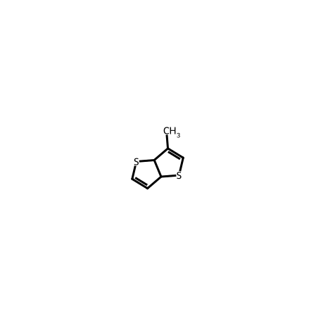 CC1=CSC2C=CSC12